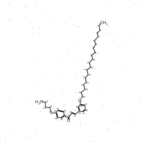 CCCCCCCCCCCCCCCCCCCCCOc1cccc(C=CC(=O)c2ccc(SCCCC)cc2)c1